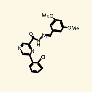 COc1cc(/C=N/NC(=O)c2cncc(-c3ccccc3Cl)n2)cc(OC)c1